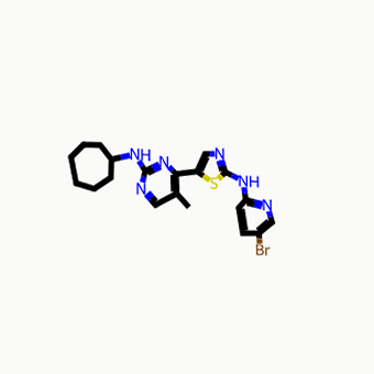 Cc1cnc(NC2CCCCCC2)nc1-c1cnc(Nc2ccc(Br)cn2)s1